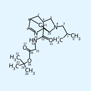 CC(C)CN1CC2CC3C=NC2(C(=O)NCC(=O)OC(C)(C)C)C1C3